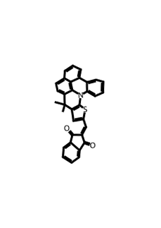 CC1(C)c2cc(C=C3C(=O)c4ccccc4C3=O)sc2N2c3ccccc3-c3cccc4ccc1c2c34